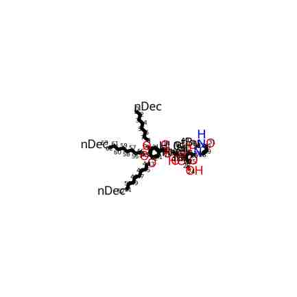 CCCCCCCCCCCCCCCCCCOc1cc(C(=O)OCC(=O)O[C@@]2(O)[C@@H](CO)O[C@@H](n3ccc(=O)[nH]c3=O)[C@@H]2O[Si](C)(C)C(C)(C)C)cc(OCCCCCCCCCCCCCCCCCC)c1OCCCCCCCCCCCCCCCCCC